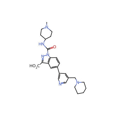 CN1CCC(NC(=O)n2nc(C(=O)O)c3cc(-c4cncc(CN5CCCCC5)c4)ccc32)CC1